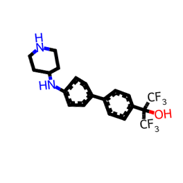 OC(c1ccc(-c2ccc(NC3CCNCC3)cc2)cc1)(C(F)(F)F)C(F)(F)F